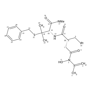 C=C(C)N(O)C(=O)C[C@@H](CC(C)C)C(=O)N[C@@H](C(=O)NC)C(C)(C)SCc1ccccc1